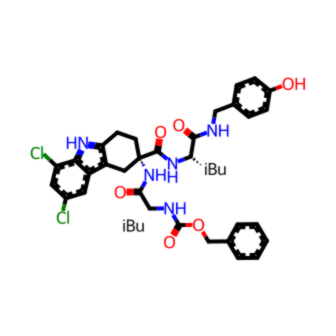 CC[C@H](C)C(NC(=O)OCc1ccccc1)C(=O)N[C@@]1(C(=O)NC(C(=O)NCc2ccc(O)cc2)[C@@H](C)CC)CCc2[nH]c3c(Cl)cc(Cl)cc3c2C1